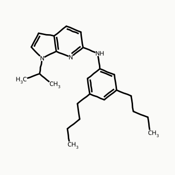 CCCCc1cc(CCCC)cc(Nc2ccc3ccn(C(C)C)c3n2)c1